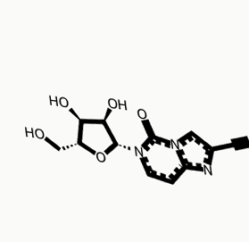 N#Cc1cn2c(=O)n([C@@H]3O[C@H](CO)[C@@H](O)[C@H]3O)ccc2n1